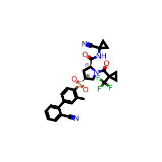 Cc1cc(-c2ccccc2C#N)ccc1S(=O)(=O)[C@@H]1C[C@@H](C(=O)NC2(C#N)CC2)N(C(=O)C2(C(F)(F)F)CC2)C1